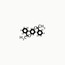 CC(Oc1ccc(OC(C)c2ccccc2)cc1)c1ccccc1